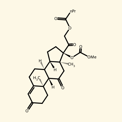 CCCC(=O)OCC(=O)[C@@]1(OC(=O)OC)CC[C@H]2[C@@H]3CCC4=CC(=O)CC[C@]4(C)[C@H]3C(=O)C[C@@]21C